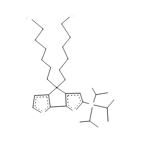 CC(C)[Si](c1cc2c(s1)-c1sccc1C2(CCCCCCBr)CCCCCCBr)(C(C)C)C(C)C